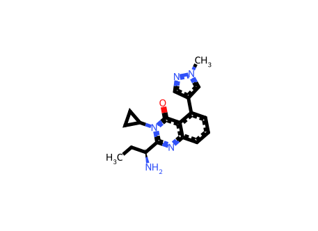 CC[C@H](N)c1nc2cccc(-c3cnn(C)c3)c2c(=O)n1C1CC1